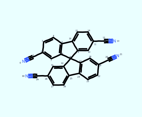 N#Cc1ccc2c(c1)C1(c3cc(C#N)ccc3-2)c2cc(C#N)ccc2-c2ccc(C#N)cc21